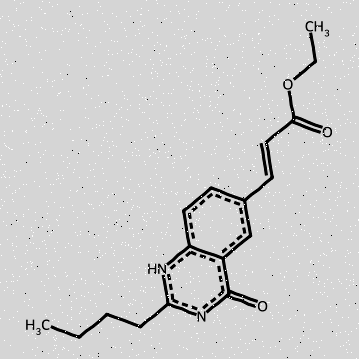 CCCCc1nc(=O)c2cc(/C=C/C(=O)OCC)ccc2[nH]1